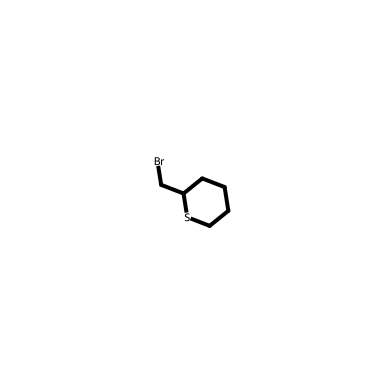 BrCC1CCCCS1